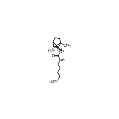 CCCCCCCCCCCCCCNC(=O)OC1=CC2CCC1(C)C2(C)C